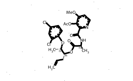 C=CC[C@@H](OC(=O)[C@H](C)NC(=O)c1nccc(OC)c1OC(C)=O)[C@H](C)Oc1ccc(Cl)cc1Cl